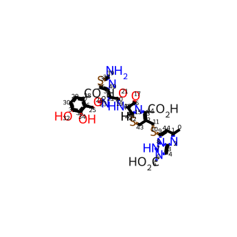 CC1=NC2=CN(C(=O)O)NN2C(SCC2=C(C(=O)O)N3C(=O)[C@@H](NC(=O)C(=NOCc4c(C(=O)O)ccc(O)c4O)c4csc(N)n4)[C@H]3SC2)=C1